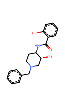 O=C(N[C@@H]1CCN(Cc2ccccc2)C[C@@H]1O)c1ccccc1O